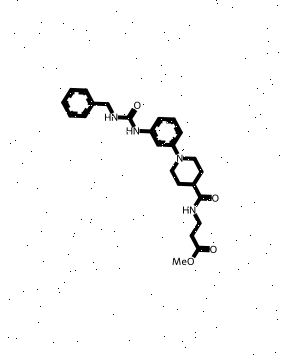 COC(=O)CCNC(=O)C1CCN(c2cccc(NC(=O)NCc3ccccc3)c2)CC1